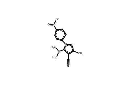 Cc1nn(-c2ccc([N+](=O)[O-])cc2)c(N(C)C)c1C#N